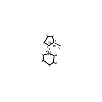 C[C@@H]1CCC[C@H]1N1CCCCC1